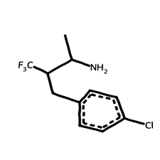 CC(N)C(Cc1ccc(Cl)cc1)C(F)(F)F